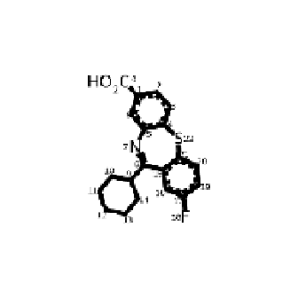 O=C(O)c1ccc2c(c1)N=C(C1CCCCC1)c1cc(F)ccc1S2